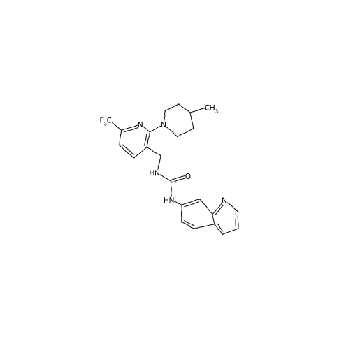 CC1CCN(c2nc(C(F)(F)F)ccc2CNC(=O)Nc2ccc3cccnc3c2)CC1